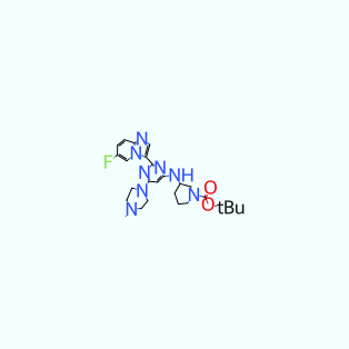 CN1CCN(c2cc(N[C@@H]3CCCN(C(=O)OC(C)(C)C)C3)nc(-c3cnc4ccc(F)cn34)n2)CC1